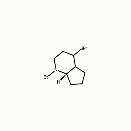 CCN1CCC(C(C)C)C2CCC[C@@H]21